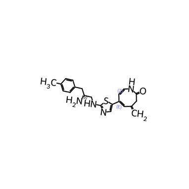 C=C1/C=C(c2cnc(NC[C@@H](N)Cc3ccc(C)cc3)s2)\C=C/NC(=O)C1